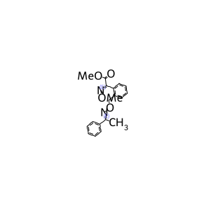 CO/N=C(/C(=O)OC)c1ccccc1CO/N=C(\C)c1ccccc1